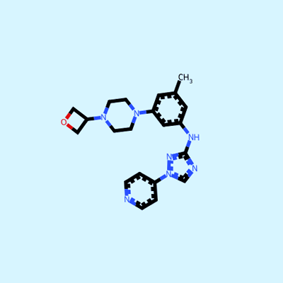 Cc1cc(Nc2ncn(-c3ccncc3)n2)cc(N2CCN(C3COC3)CC2)c1